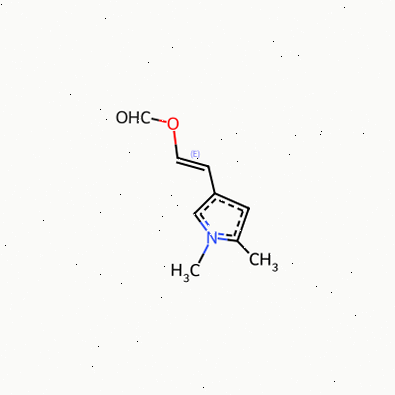 Cc1cc(/C=C/OC=O)cn1C